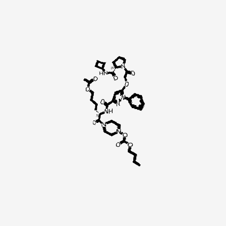 CCCCOC(=O)ON1CCN(C(=O)[C@H](CCCCOC(C)=O)NC(=O)c2cc(OCC(=O)N3CCC[C@H]3C(=O)NC3CCC3)n(-c3ccccc3)n2)CC1